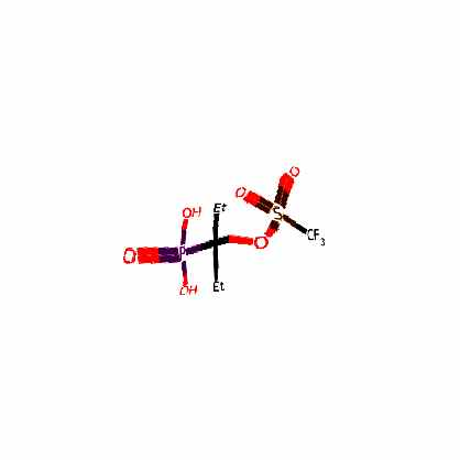 CCC(CC)(OS(=O)(=O)C(F)(F)F)P(=O)(O)O